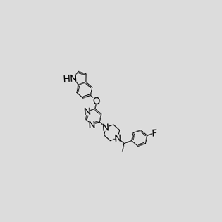 CC(c1ccc(F)cc1)N1CCN(c2cc(Oc3ccc4[nH]ccc4c3)ncn2)CC1